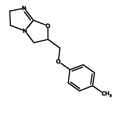 Cc1ccc(OCC2CN3CCN=C3O2)cc1